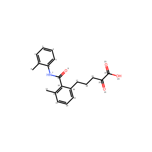 Cc1ccccc1NC(=O)c1c(C)cccc1CCCC(=O)C(=O)O